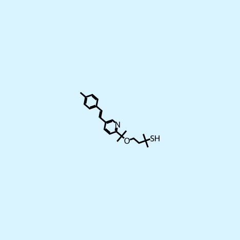 Cc1ccc(/C=C/c2ccc(C(C)(C)OCCC(C)(C)S)nc2)cc1